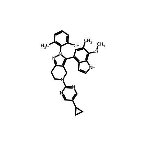 COc1c(C)cc(-c2c3c(nn2-c2c(C)cccc2C)CCN(c2ncc(C4CC4)cn2)C3)c2cc[nH]c12